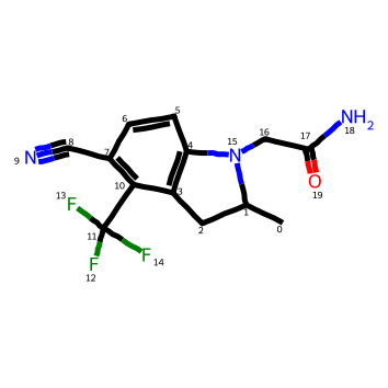 CC1Cc2c(ccc(C#N)c2C(F)(F)F)N1CC(N)=O